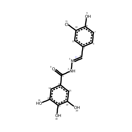 O=C(N/N=C/c1ccc(O)c(Cl)c1)c1cc(O)c(O)c(O)c1